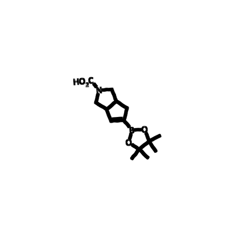 CC1(C)OB(C2=CC3CN(C(=O)O)CC3C2)OC1(C)C